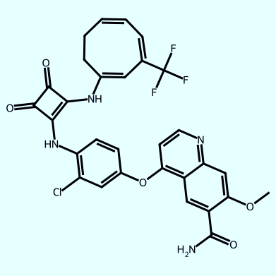 COc1cc2nccc(Oc3ccc(Nc4c(N/C5=C/C(C(F)(F)F)=C\C=C/CC5)c(=O)c4=O)c(Cl)c3)c2cc1C(N)=O